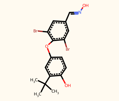 CC(C)(C)c1cc(Oc2c(Br)cc(C=NO)cc2Br)ccc1O